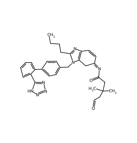 CCCCc1nc2c(n1Cc1ccc(-c3ccccc3-c3nnn[nH]3)cc1)CC(=NC(=O)CC(C)(C)CC=O)C=C2